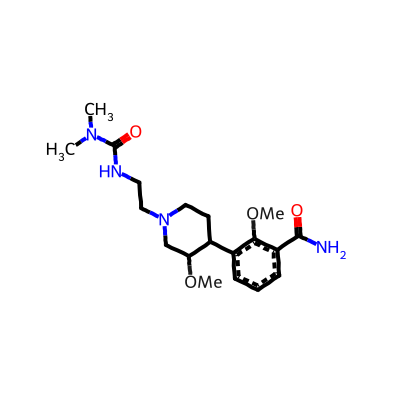 COc1c(C(N)=O)cccc1C1CCN(CCNC(=O)N(C)C)CC1OC